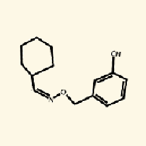 N#Cc1cccc(CO/N=[C]\C2CCCCC2)c1